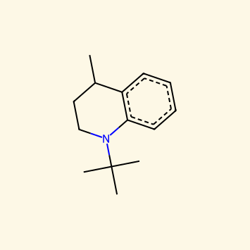 CC1CCN(C(C)(C)C)c2ccccc21